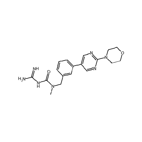 CN(Cc1cccc(-c2cnc(N3CCOCC3)nc2)c1)C(=O)NC(=N)N